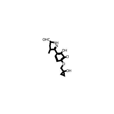 CC1CC(C=O)NN=C1c1ccc(OCC2(O)CC2)c(Cl)c1O